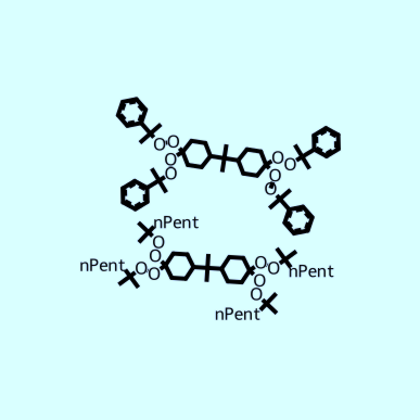 CC(C)(OOC1(OOC(C)(C)c2ccccc2)CCC(C(C)(C)C2CCC(OOC(C)(C)c3ccccc3)(OOC(C)(C)c3ccccc3)CC2)CC1)c1ccccc1.CCCCCC(C)(C)OOC1(OOC(C)(C)CCCCC)CCC(C(C)(C)C2CCC(OOC(C)(C)CCCCC)(OOC(C)(C)CCCCC)CC2)CC1